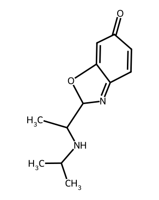 CC(C)NC(C)C1N=C2C=CC(=O)C=C2O1